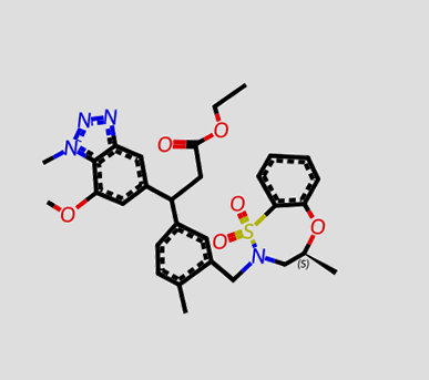 CCOC(=O)CC(c1ccc(C)c(CN2C[C@H](C)Oc3ccccc3S2(=O)=O)c1)c1cc(OC)c2c(c1)nnn2C